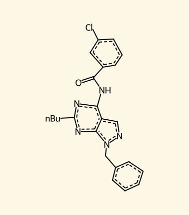 CCCCc1nc(NC(=O)c2cccc(Cl)c2)c2cnn(Cc3ccccc3)c2n1